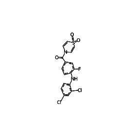 O=C(c1ccc(Nc2ccc(Cl)cc2Cl)c(F)c1)N1C=CS(=O)(=O)C=C1